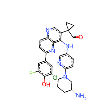 N[C@@H]1CCCN(c2ccc(Nc3c(C4(C=O)CC4)cnc4ccc(-c5cc(F)c(O)c(Cl)c5)nc34)cn2)C1